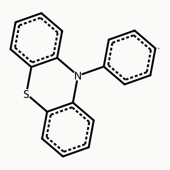 [c]1ccc(N2c3ccccc3Sc3ccccc32)cc1